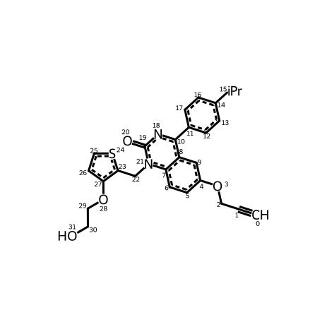 C#CCOc1ccc2c(c1)c(-c1ccc(C(C)C)cc1)nc(=O)n2Cc1sccc1OCCO